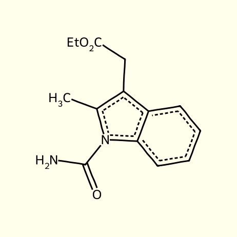 CCOC(=O)Cc1c(C)n(C(N)=O)c2ccccc12